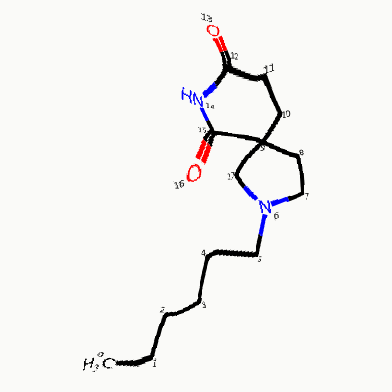 CCCCCCN1CCC2(CCC(=O)NC2=O)C1